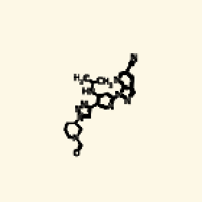 CC(C)Nc1cc(-n2ncc3cc(C#N)cnc32)ncc1-c1cn(C2CCCN(C=O)C2)nn1